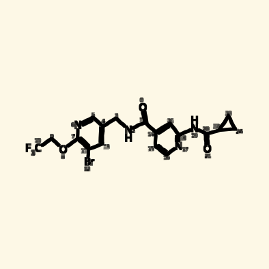 O=C(NCc1cnc(OCC(F)(F)F)c(Br)c1)c1ccnc(NC(=O)C2CC2)c1